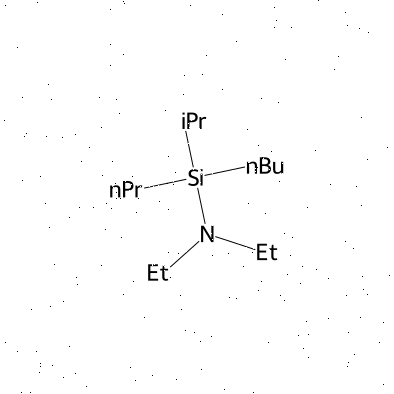 CCCC[Si](CCC)(C(C)C)N(CC)CC